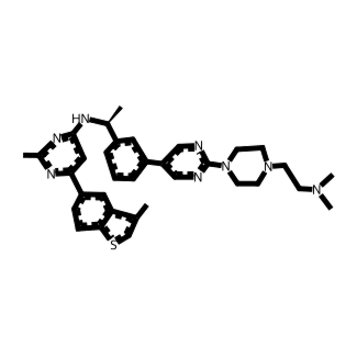 Cc1nc(N[C@@H](C)c2cccc(-c3cnc(N4CCN(CCN(C)C)CC4)nc3)c2)cc(-c2ccc3scc(C)c3c2)n1